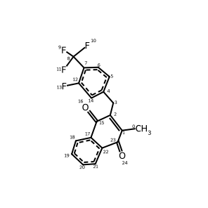 CC1=C(Cc2ccc(C(F)(F)F)c(F)c2)C(=O)c2ccccc2C1=O